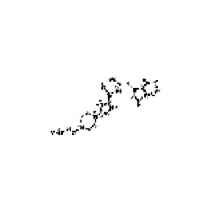 CCCC(Cc1c[nH]c2ccccc12)NC(=O)c1nnc(N2CCN(CCOC)CC2)[nH]1